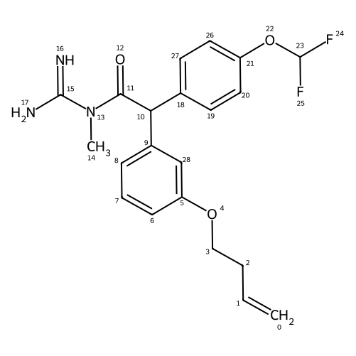 C=CCCOc1cccc(C(C(=O)N(C)C(=N)N)c2ccc(OC(F)F)cc2)c1